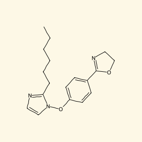 CCCCCCc1nccn1Oc1ccc(C2=NCCO2)cc1